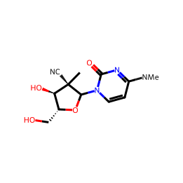 CNc1ccn(C2O[C@H](CO)[C@@H](O)[C@@]2(C)C#N)c(=O)n1